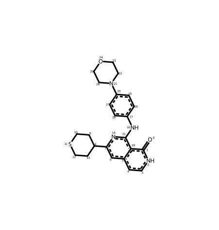 O=c1[nH]ccc2cc(C3CCSCC3)nc(Nc3ccc(N4CCOCC4)cc3)c12